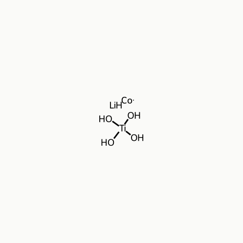 [Co].[LiH].[OH][Ti]([OH])([OH])[OH]